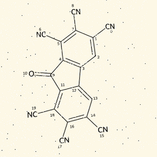 N#Cc1cc2c(c(C#N)c1C#N)C(=O)c1c-2cc(C#N)c(C#N)c1C#N